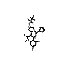 COC(=O)C1=C2C[C@H](NS(=O)(=O)C(F)(F)F)CN2C(c2nccs2)=N[C@H]1c1ccc(F)cc1Cl